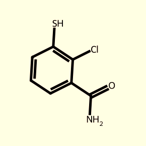 NC(=O)c1cccc(S)c1Cl